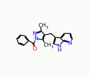 Cc1nn(C(=O)c2ccccc2)c(C)c1Cc1c[nH]c2ncccc12